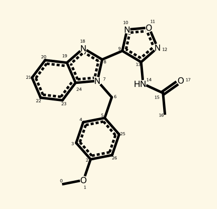 COc1ccc(Cn2c(-c3nonc3NC(C)=O)nc3ccccc32)cc1